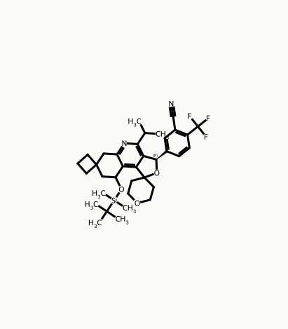 CC(C)c1nc2c(c3c1[C@@H](c1ccc(C(F)(F)F)c(C#N)c1)OC31CCOCC1)C(O[Si](C)(C)C(C)(C)C)CC1(CCC1)C2